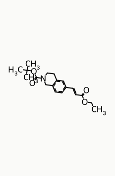 CCOC(=O)/C=C/c1ccc2c(c1)CCN(C(=O)OC(C)(C)C)C2